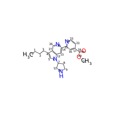 CCCCc1cn(C2CCNC2)c2cc(-c3cc(C(=O)OC)ccn3)ncc12